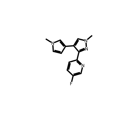 Cn1ccc(-c2cn(C)nc2-c2ccc(F)cn2)c1